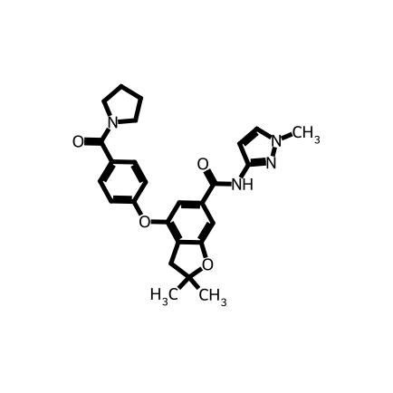 Cn1ccc(NC(=O)c2cc(Oc3ccc(C(=O)N4CCCC4)cc3)c3c(c2)OC(C)(C)C3)n1